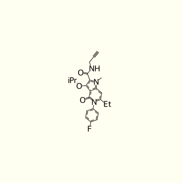 C#CCNC(=O)c1c(OC(C)C)c2c(=O)n(-c3ccc(F)cc3)c(CC)cc2n1C